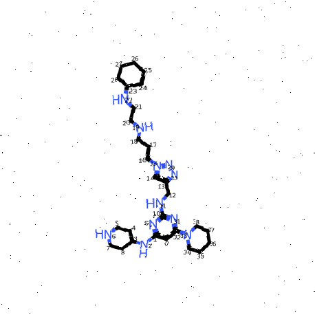 c1c(NC2CCNCC2)nc(NCc2cn(CCCNCCNC3CCCCC3)nn2)nc1N1CCCCC1